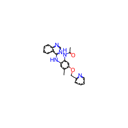 CC(=O)Nc1cc(OCc2ccccn2)c(C)cc1Nc1ncnc2ccccc12